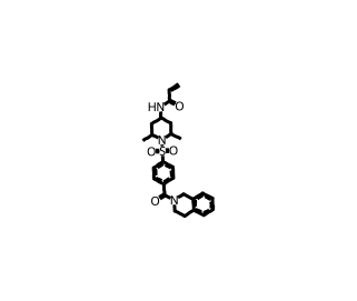 C=CC(=O)NC1CC(C)N(S(=O)(=O)c2ccc(C(=O)N3CCc4ccccc4C3)cc2)C(C)C1